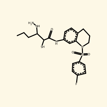 CCCC(NN)C(S)C(=O)Nc1ccc2c(c1)N(S(=O)(=O)c1ccc(F)cc1)CCC2